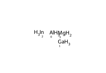 [AlH3].[GaH3].[InH3].[MgH2]